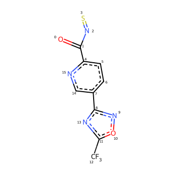 O=C(N=S)c1ccc(-c2noc(C(F)(F)F)n2)cn1